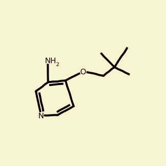 CC(C)(C)COc1ccncc1N